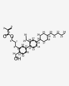 C=C(C)C(=O)OCCCc1cc(-c2ccc(C3CCC(CCCCC)CC3)cc2CC)ccc1CO